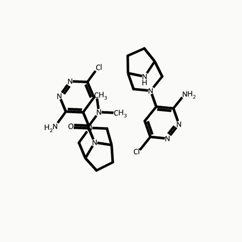 CN(C)C(=O)N1C2CCC1CN(c1cc(Cl)nnc1N)C2.Nc1nnc(Cl)cc1N1CC2CCC(C1)N2